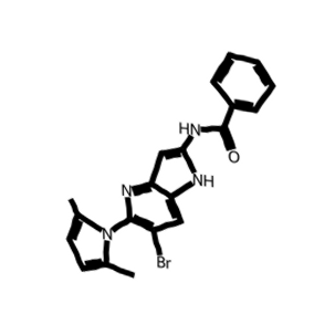 Cc1ccc(C)n1-c1nc2cc(NC(=O)c3ccccc3)[nH]c2cc1Br